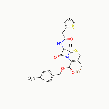 O=C(Cc1cccs1)NC1C(=O)N2C(C(=O)OCc3ccc([N+](=O)[O-])cc3)=C(CBr)CS[C@H]12